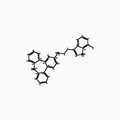 Cc1cccc2c(CCNc3ncc4c(n3)-c3cccnc3Nc3ccccc3-4)c[nH]c12